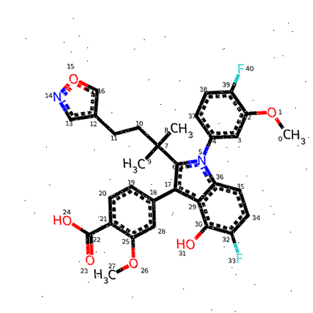 COc1cc(-n2c(C(C)(C)CCc3cnoc3)c(-c3ccc(C(=O)O)c(OC)c3)c3c(O)c(F)ccc32)ccc1F